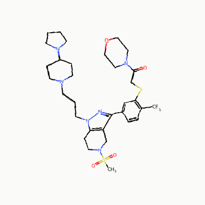 CS(=O)(=O)N1CCc2c(c(-c3ccc(C(F)(F)F)c(SCC(=O)N4CCOCC4)c3)nn2CCCN2CCC(N3CCCC3)CC2)C1